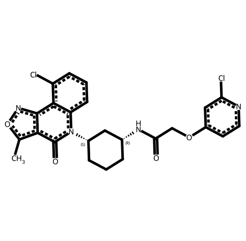 Cc1onc2c1c(=O)n([C@H]1CCC[C@@H](NC(=O)COc3ccnc(Cl)c3)C1)c1cccc(Cl)c21